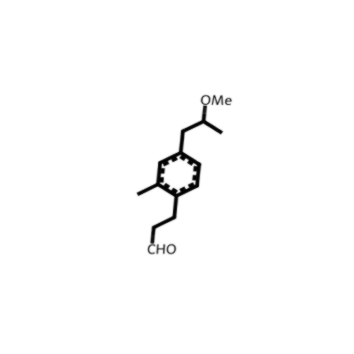 COC(C)Cc1ccc(CCC=O)c(C)c1